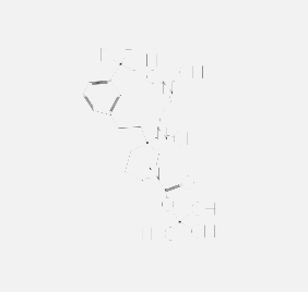 CN(C)CCN(C)C1(CCc2cccc(C(F)(F)F)c2)CCCN(C(=O)OC(C)(C)C)C1